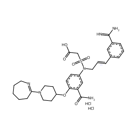 Cl.Cl.N=C(N)c1cccc(/C=C/CN(c2ccc(OC3CCN(C4=NCCCCC4)CC3)c(C(N)=O)c2)S(=O)(=O)CC(=O)O)c1